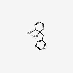 NC1C=CC=CC1(N)Cc1cncnc1